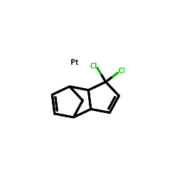 ClC1(Cl)C=CC2C3C=CC(C3)C21.[Pt]